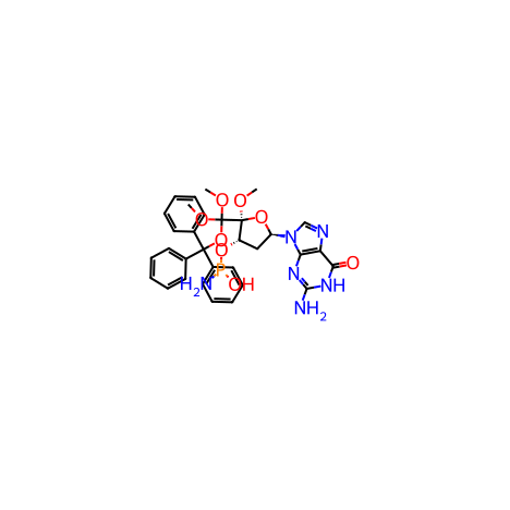 COC(OC)(OC(c1ccccc1)(c1ccccc1)c1ccccc1)[C@@]1(OC)O[C@@H](n2cnc3c(=O)[nH]c(N)nc32)C[C@@H]1OP(N)O